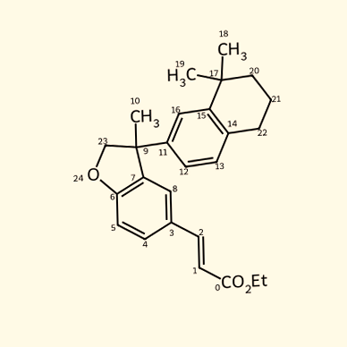 CCOC(=O)C=Cc1ccc2c(c1)C(C)(c1ccc3c(c1)C(C)(C)CCC3)CO2